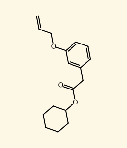 C=CCOc1cccc(CC(=O)OC2CCCCC2)c1